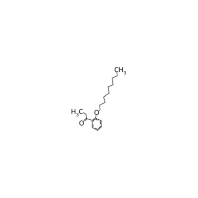 CCCCCCCCCCOc1ccccc1C(=O)CC